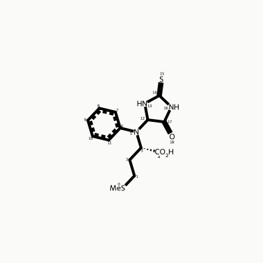 CSCC[C@@H](C(=O)O)N(c1ccccc1)C1NC(=S)NC1=O